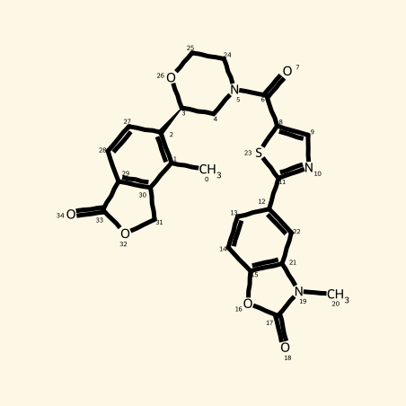 Cc1c([C@@H]2CN(C(=O)c3cnc(-c4ccc5oc(=O)n(C)c5c4)s3)CCO2)ccc2c1COC2=O